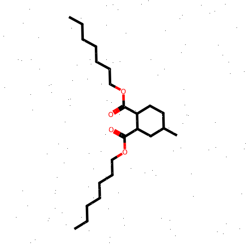 CCCCCCCOC(=O)C1CCC(C)CC1C(=O)OCCCCCCC